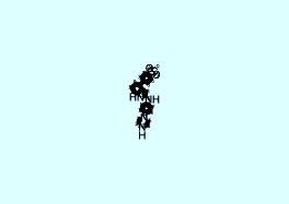 CS(=O)(=O)c1ccc(C2=CC=CC3NC(Nc4ccc(N5CCNCC5)cc4)=CC23)cc1